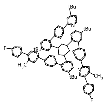 Cc1cc(-c2ccc(-c3cc(C(C)(C)C)ccc3C3CC(c4ccc(C(C)(C)C)cc4-c4ccc(-c5cc(C)c(-c6ccc(F)cc6)cn5)cc4)CC(c4cc(C(C)(C)C)ccc4-c4ccc(-c5cc(C(C)(C)C)ccn5)cc4)C3)cc2)ncc1-c1ccc(F)cc1